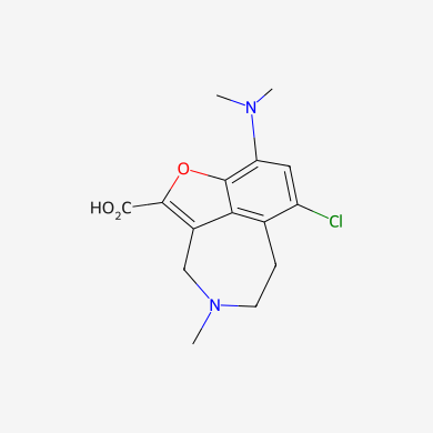 CN1CCc2c(Cl)cc(N(C)C)c3oc(C(=O)O)c(c23)C1